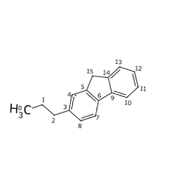 CCCc1[c]c2c(cc1)-c1ccccc1C2